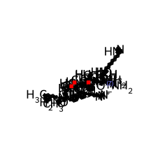 CCc1cc(OCCCCN=[N+]=[N-])ccc1-c1ccc(C[C@H](NC(=O)[C@H](CC(=O)O)NC(=O)[C@H](C)NC(=O)[C@@H](NC(=O)[C@](C)(Cc2ccccc2F)NC(=O)[C@@H](NC(=O)CNC(=O)[C@H](C/C(N)=N/NN)NC(=O)C(C)(C)NC(=O)CCCCCCCCc2cnc[nH]2)[C@@H](C)O)[C@@H](C)O)C(=O)N[C@@H](CCCc2cc(C)cc(C)c2)C(N)=O)cc1